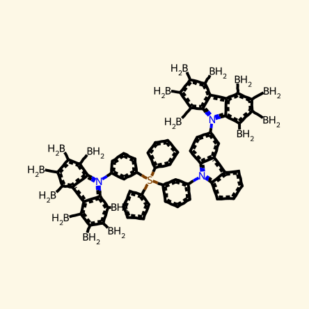 Bc1c(B)c(B)c2c(c1B)c1c(B)c(B)c(B)c(B)c1n2-c1cccc(S(c2ccccc2)(c2ccccc2)c2cccc(-n3c4ccccc4c4cc(-n5c6c(B)c(B)c(B)c(B)c6c6c(B)c(B)c(B)c(B)c65)ccc43)c2)c1